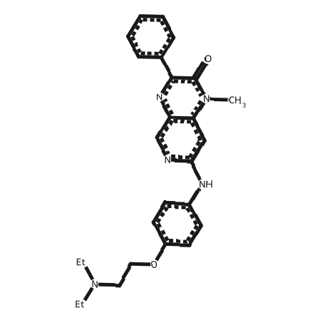 CCN(CC)CCOc1ccc(Nc2cc3c(cn2)nc(-c2ccccc2)c(=O)n3C)cc1